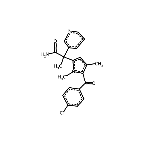 Cc1cc(C(C)(C(N)=O)c2cccnc2)n(C)c1C(=O)c1ccc(Cl)cc1